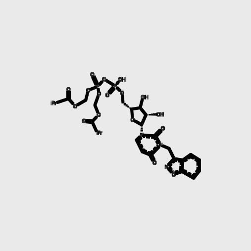 CC(C)C(=O)OCOP(=O)(OCOC(=O)C(C)C)OP(=O)(O)OC[C@H]1O[C@@H](n2ccc(=O)n(Cc3noc4ccccc34)c2=O)[C@@H](O)C1O